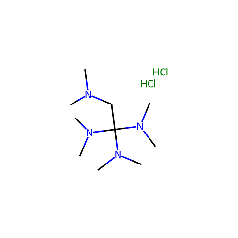 CN(C)CC(N(C)C)(N(C)C)N(C)C.Cl.Cl